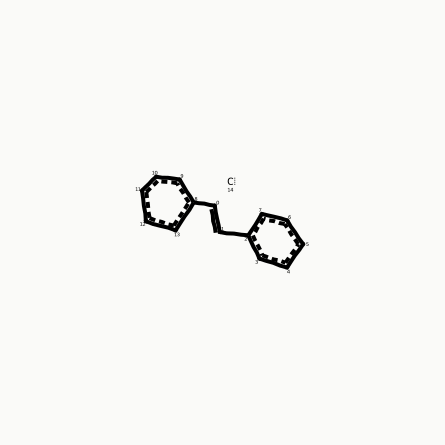 C(=Cc1ccccc1)c1ccccc1.[C]